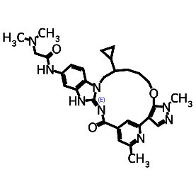 Cc1cc2cc(n1)-c1cnn(C)c1OCCCC(C1CC1)CN1/C(=N/C2=O)Nc2cc(NC(=O)CN(C)C)ccc21